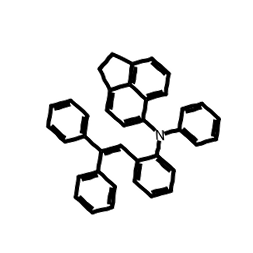 C(=C(c1ccccc1)c1ccccc1)c1ccccc1N(c1ccccc1)c1ccc2c3c(cccc13)CC2